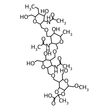 CCC1C(CO)OC(COCC2C(O)C(C)OC(COCC3C(O)C(CO)OC(COCC4C(CO)OC(COC)C5OC(C)(C(=O)O)OC45)C3NC(C)=O)C2NC(C)=O)C(NC(C)=O)C1O